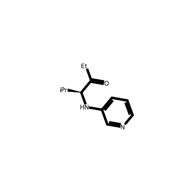 CCC(=O)[C@@H](Nc1cccnc1)C(C)C